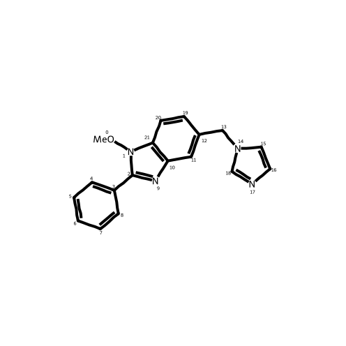 COn1c(-c2ccccc2)nc2cc(Cn3ccnc3)ccc21